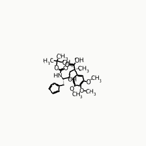 COc1cc([C@@](C)(C[C@H](O)[C@H](Cc2ccccc2)NC(=O)OC(C)(C)C)C(=O)O)cc(OC)c1OC